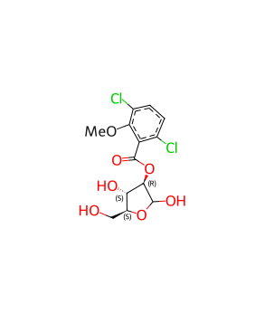 COc1c(Cl)ccc(Cl)c1C(=O)O[C@H]1C(O)O[C@@H](CO)[C@@H]1O